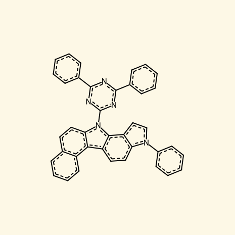 c1ccc(-c2nc(-c3ccccc3)nc(-n3c4ccc5ccccc5c4c4ccc5c(ccn5-c5ccccc5)c43)n2)cc1